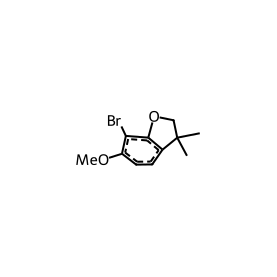 COc1ccc2c(c1Br)OCC2(C)C